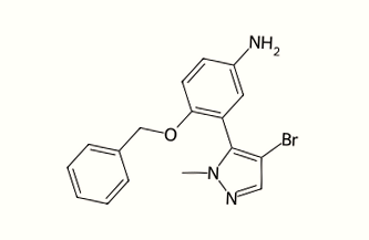 Cn1ncc(Br)c1-c1cc(N)ccc1OCc1ccccc1